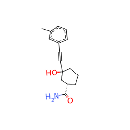 Cc1cccc(C#C[C@]2(O)CCC[C@H](C(N)=O)C2)c1